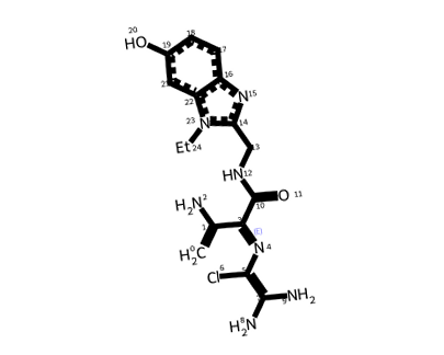 C=C(N)/C(=N\C(Cl)=C(N)N)C(=O)NCc1nc2ccc(O)cc2n1CC